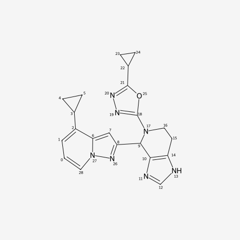 c1cc(C2CC2)c2cc(C3c4nc[nH]c4CCN3c3nnc(C4CC4)o3)nn2c1